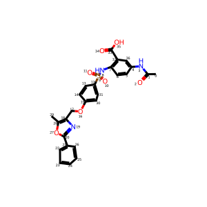 CC(=O)Nc1ccc(NS(=O)(=O)c2ccc(OCc3nc(-c4ccccc4)oc3C)cc2)c(C(=O)O)c1